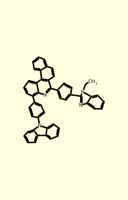 CCn1c(-c2ccc(-c3nc4c(-c5ccc(-n6c7ccccc7c7ccccc76)cc5)cccc4c4c3ccc3ccccc34)cc2)nc2ccccc21